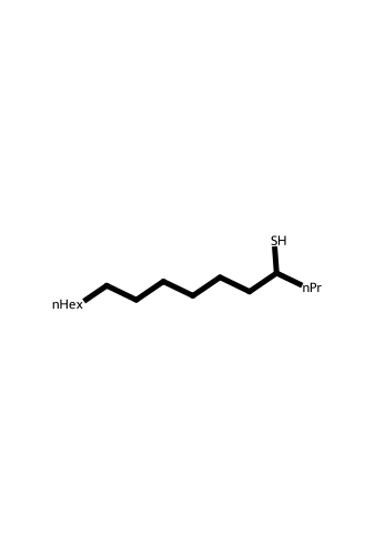 CCCCCCCCCCCCC(S)CCC